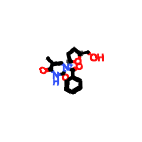 CC1=C[N+](C(=O)c2ccccc2)([C@H]2CC[C@@H](CO)O2)C(=O)NC1=O